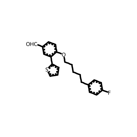 O=Cc1ccc(OCCCCCc2ccc(F)cc2)c(-c2cccs2)c1